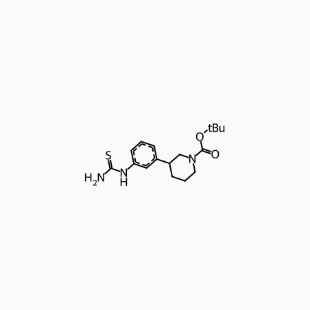 CC(C)(C)OC(=O)N1CCCC(c2cccc(NC(N)=S)c2)C1